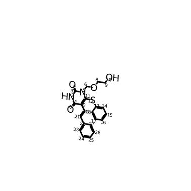 O=c1[nH]c(=O)n(COCCO)c(Sc2ccccc2)c1/C=C/c1ccccc1